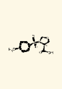 Cc1ccc(S(=O)(=O)N2COC[C@H]2C(=O)O)cc1